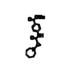 COC(=O)c1ccc(NC(=O)C2CC2N2CCCCCC2)cc1